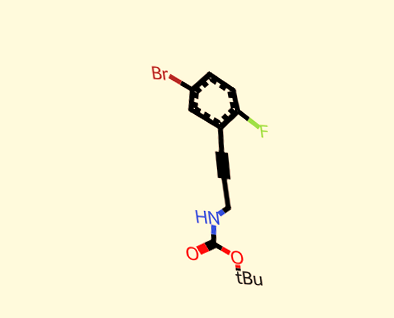 CC(C)(C)OC(=O)NCC#Cc1cc(Br)ccc1F